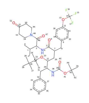 CC(C)C(NC(=O)C(Cc1ccc(OC(F)(F)F)cc1)CC(O[Si](C)(C)C(C)(C)C)C(Cc1ccccc1)NC(=O)OC(C)(C)C)C(=O)N1CCC(=O)CC1